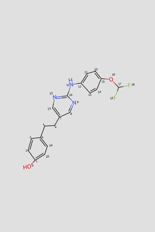 Oc1ccc(CCc2cnc(Nc3ccc(OC(F)F)cc3)nc2)cc1